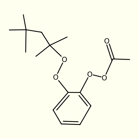 CC(=O)OOc1ccccc1OOC(C)(C)CC(C)(C)C